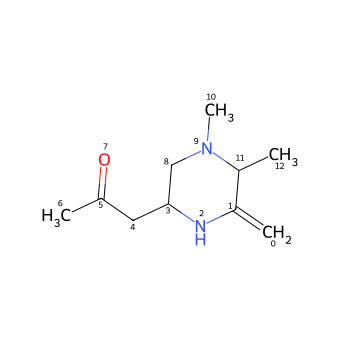 C=C1NC(CC(C)=O)CN(C)C1C